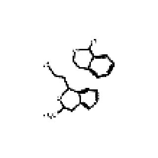 CC1Cc2ccccc2C(CCCl)O1.ClC1OCCc2ccccc21